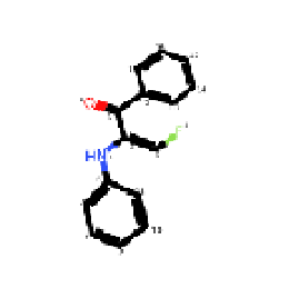 O=C(C(=CF)Nc1ccccc1)c1ccccc1